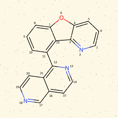 c1cnc2c(c1)oc1cccc(-c3nccc4cnccc34)c12